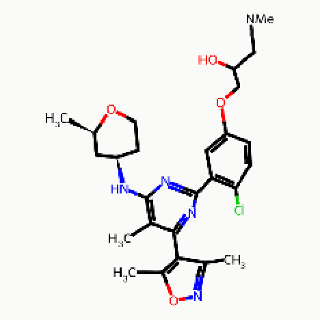 CNCC(O)COc1ccc(Cl)c(-c2nc(N[C@@H]3CCO[C@H](C)C3)c(C)c(-c3c(C)noc3C)n2)c1